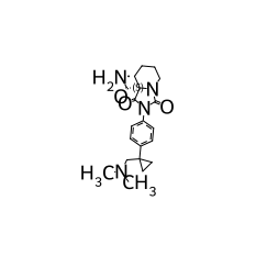 CN(C)CC1(c2ccc(N3C(=O)N4CCC[CH][C@]4(C(N)=O)C3=O)cc2)CC1